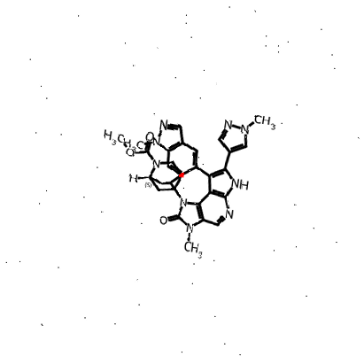 COC(=O)N1CC2CC[C@H]1CC2n1c(=O)n(C)c2cnc3[nH]c(-c4cnn(C)c4)c(-c4ccc5c(cnn5C)c4)c3c21